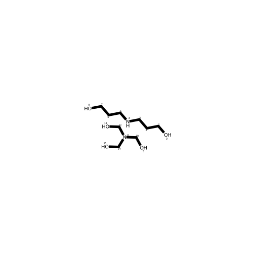 OCCCNCCCO.OCN(CO)CO